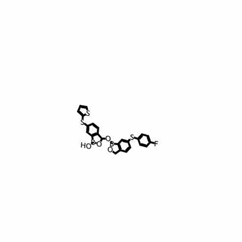 OB1OC(OB2OCc3ccc(Sc4ccc(F)cc4)cc32)c2ccc(Sc3cccs3)cc21